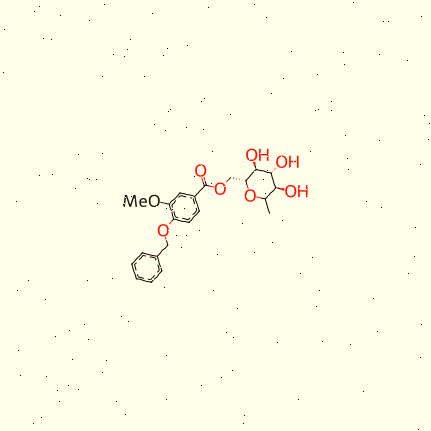 COc1cc(C(=O)OC[C@H]2OC(C)[C@H](O)[C@@H](O)[C@@H]2O)ccc1OCc1ccccc1